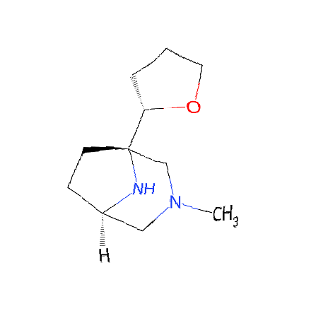 CN1C[C@H]2CC[C@@]([C@@H]3CCCO3)(C1)N2